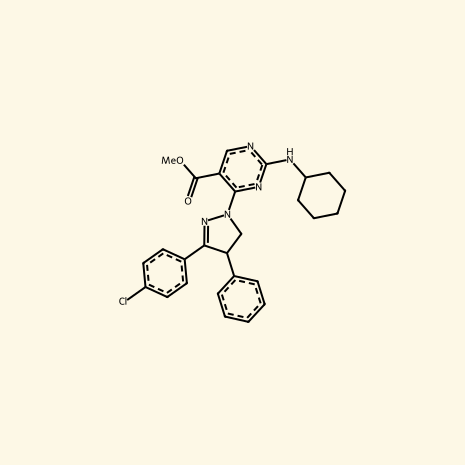 COC(=O)c1cnc(NC2CCCCC2)nc1N1CC(c2ccccc2)C(c2ccc(Cl)cc2)=N1